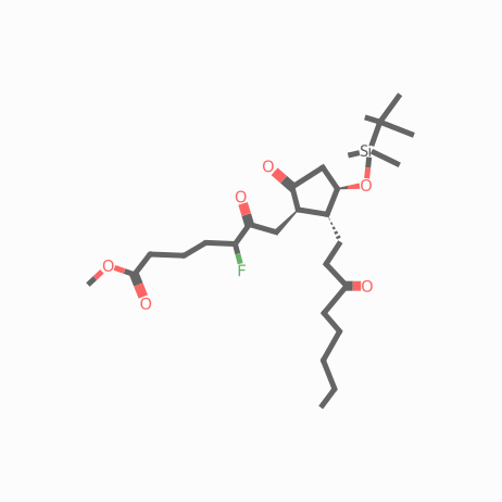 CCCCCC(=O)CC[C@H]1[C@H](O[Si](C)(C)C(C)(C)C)CC(=O)[C@@H]1CC(=O)C(F)CCCC(=O)OC